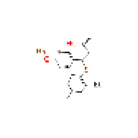 C#C/C=C(\C=C/COS)C(CC(=C)O)SC1=C(CC)CC(C)CC1